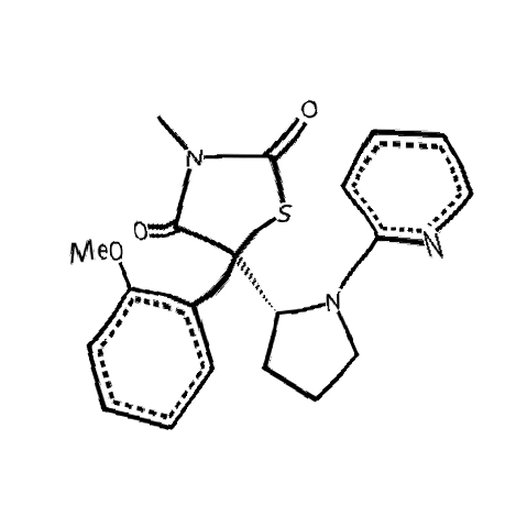 COc1ccccc1C1([C@H]2CCCN2c2ccccn2)SC(=O)N(C)C1=O